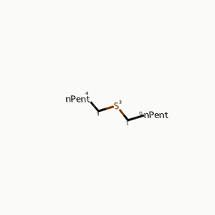 [CH2]CCCCCSCCCCCC